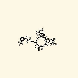 CC[C@H]1OC(=O)[C@H](C)[C@@H](O[C@H]2C[C@@](C)(OC)[C@@H](O)[C@H](C)O2)[C@H](C)[C@@H](O[C@@H]2O[C@H](C)C[C@H](N(C)C)[C@H]2O)[C@](C)(O)C[C@@H](C)CN(CCCNC(=S)Nc2cccc(C(F)(F)F)c2)[C@H](C)[C@@H](O)[C@]1(C)O